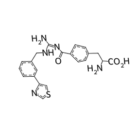 NC(=NC(=O)c1ccc(CC(N)C(=O)O)cc1)NCc1cccc(-c2cscn2)c1